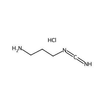 Cl.N=C=NCCCN